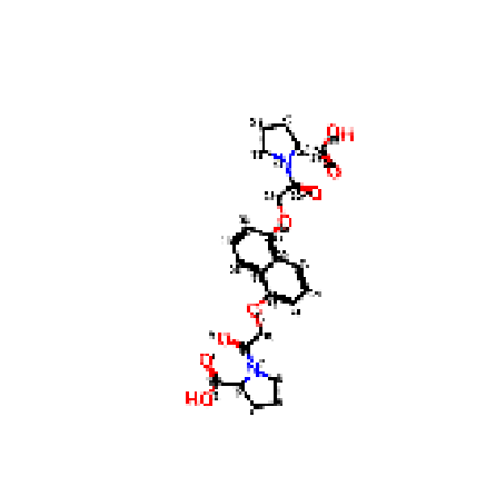 O=C(O)C1CCCN1C(=O)COc1cccc2c(OCC(=O)N3CCC[C@@H]3C(=O)O)cccc12